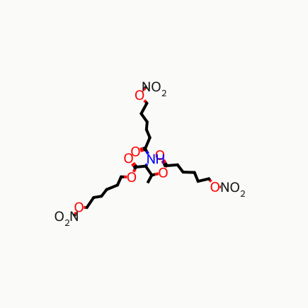 CC(OC(=O)CCCCCO[N+](=O)[O-])C(NC(=O)CCCCCO[N+](=O)[O-])C(=O)OCCCCCCO[N+](=O)[O-]